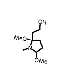 CO[C@@H]1CC[C@](CCO)(OC)N1C